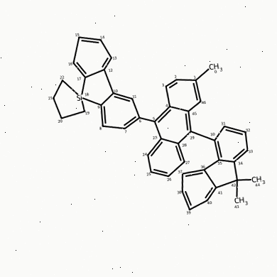 Cc1ccc2c(-c3ccc4c(c3)-c3ccccc3[Si]43CCCC3)c3ccccc3c(-c3cccc4c3-c3ccccc3C4(C)C)c2c1